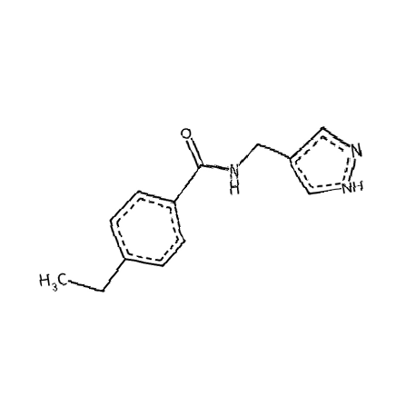 CCc1ccc(C(=O)NCc2cn[nH]c2)cc1